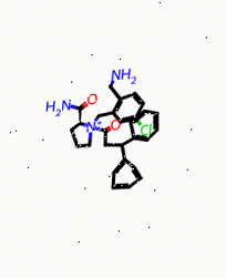 NCc1ccc(Cl)cc1C[N+]1(C(=O)CC(c2ccccc2)c2ccccc2)CCC[C@H]1C(N)=O